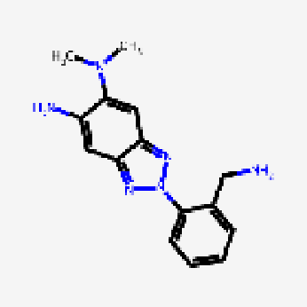 CN(C)c1cc2nn(-c3ccccc3CN)nc2cc1N